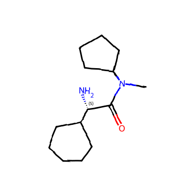 CN(C(=O)[C@@H](N)C1CCCCC1)C1CCCC1